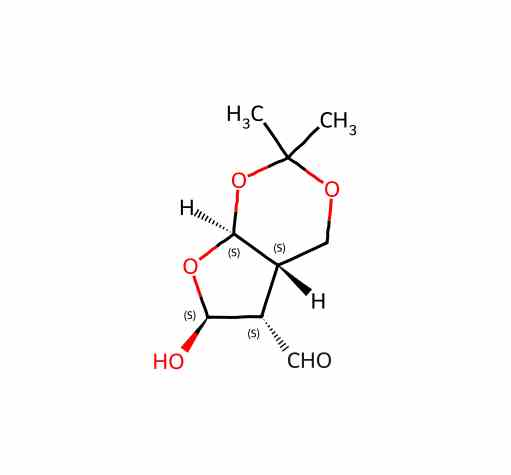 CC1(C)OC[C@H]2[C@@H](O[C@H](O)[C@H]2C=O)O1